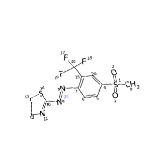 CS(=O)(=O)c1ccc(/N=N/C2=NCCS2)c(C(F)(F)F)c1